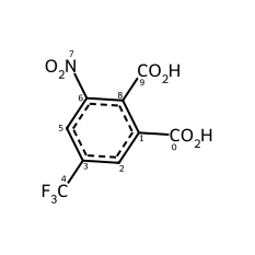 O=C(O)c1cc(C(F)(F)F)cc([N+](=O)[O-])c1C(=O)O